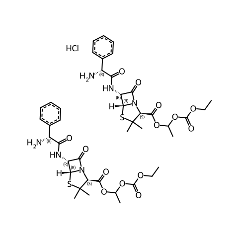 CCOC(=O)OC(C)OC(=O)[C@@H]1N2C(=O)[C@@H](NC(=O)[C@H](N)c3ccccc3)[C@H]2SC1(C)C.CCOC(=O)OC(C)OC(=O)[C@@H]1N2C(=O)[C@@H](NC(=O)[C@H](N)c3ccccc3)[C@H]2SC1(C)C.Cl